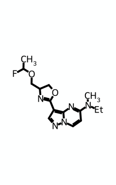 CCN(C)c1ccn2ncc(C3=NC(COC(C)F)CO3)c2n1